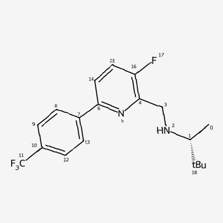 C[C@@H](NCc1nc(-c2ccc(C(F)(F)F)cc2)ccc1F)C(C)(C)C